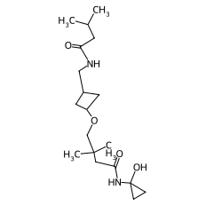 CC(C)CC(=O)NCC1CC(OCC(C)(C)CC(=O)NC2(O)CC2)C1